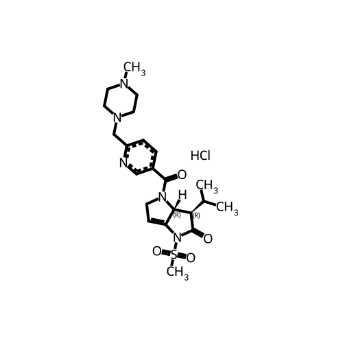 CC(C)[C@H]1C(=O)N(S(C)(=O)=O)C2=CCN(C(=O)c3ccc(CN4CCN(C)CC4)nc3)[C@@H]21.Cl